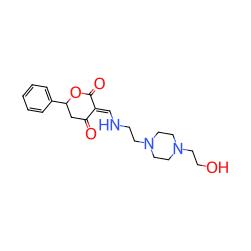 O=C1CC(c2ccccc2)OC(=O)C1=CNCCN1CCN(CCO)CC1